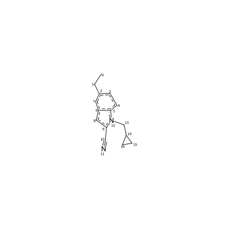 CCc1ccc2c(c1)cc(C#N)n2CC1CC1